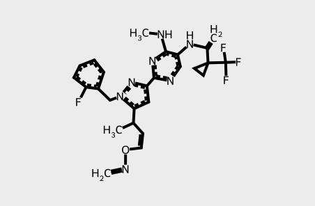 C=NO/C=C\C(C)c1cc(-c2ncc(NC(=C)C3(C(F)(F)F)CC3)c(NC)n2)nn1Cc1ccccc1F